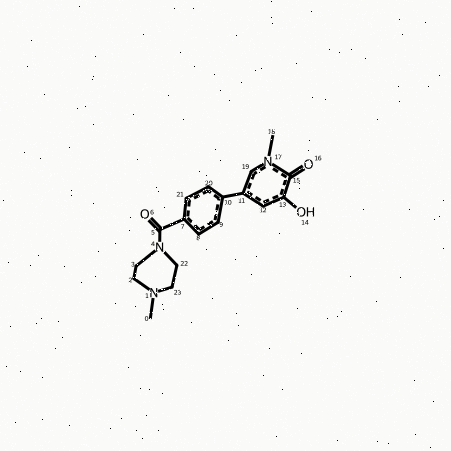 CN1CCN(C(=O)c2ccc(-c3cc(O)c(=O)n(C)c3)cc2)CC1